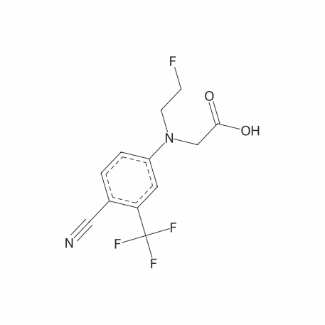 N#Cc1ccc(N(CCF)CC(=O)O)cc1C(F)(F)F